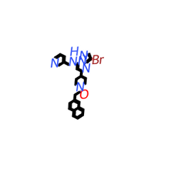 O=C(Cc1ccc2ccccc2c1)N1CCC(c2cc(NCc3cccnc3)n3ncc(Br)c3n2)CC1